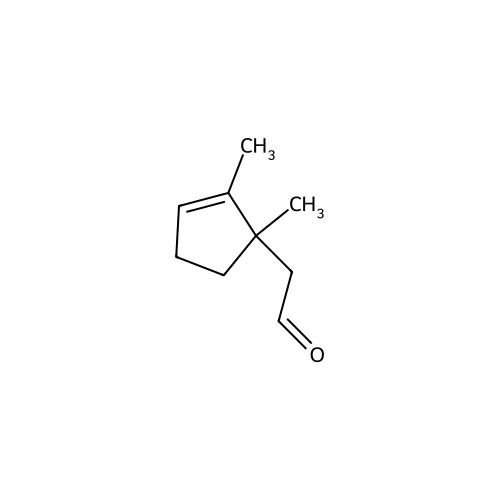 CC1=CCCC1(C)CC=O